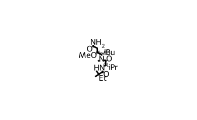 CC[C@H](C)[C@@H]([C@@H](CC(N)=O)OC)N(C)C(=O)[C@@H](NC(=O)C(C)(C)CC)C(C)C